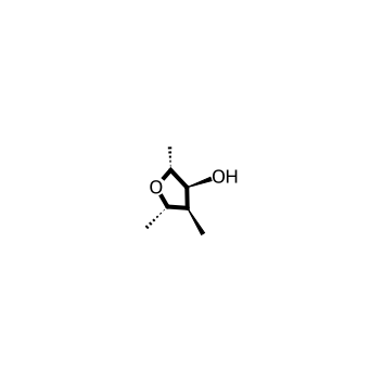 C[C@@H]1[C@H](O)[C@@H](C)O[C@H]1C